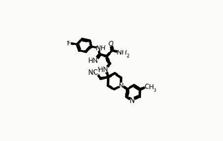 Cc1cncc(N2CCC(CC#N)(N/C=C(\C(=N)Nc3ccc(F)cc3)C(N)=O)CC2)c1